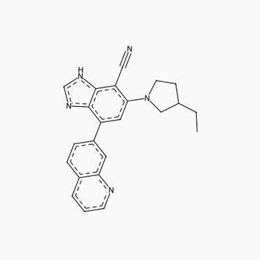 CCC1CCN(c2cc(-c3ccc4cccnc4c3)c3nc[nH]c3c2C#N)C1